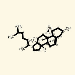 CC(C)CCCC(C)[C@H]1CC[C@H]2[C@@H]3CC=C4C[C@@H](O)CC[C@]4(CO)[C@H]3CC[C@]12C